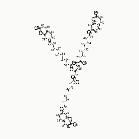 O=C(CCCCCCCCOc1ccc2ccc(=O)oc2c1)OCC(COC(=O)CCCCCCCCOc1ccc2ccc(=O)oc2c1)OC(=O)CCCCCCCCOc1ccc2ccc(=O)oc2c1